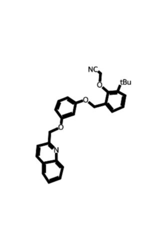 CC(C)(C)c1cccc(COc2cccc(OCc3ccc4ccccc4n3)c2)c1OCC#N